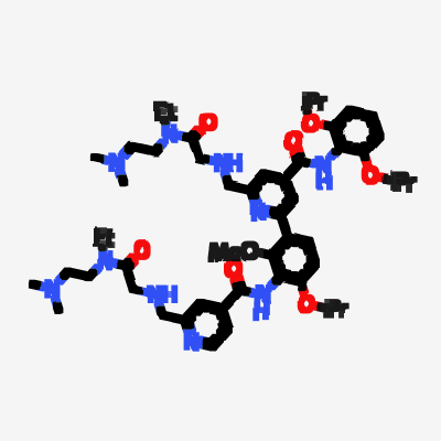 CCN(CCN(C)C)C(=O)CNCc1cc(C(=O)Nc2c(OC(C)C)ccc(-c3cc(C(=O)Nc4c(OC(C)C)cccc4OC(C)C)cc(CNCC(=O)N(CC)CCN(C)C)n3)c2OC)ccn1